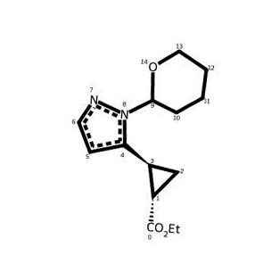 CCOC(=O)[C@H]1C[C@@H]1c1ccnn1C1CCCCO1